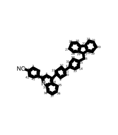 N#Cc1ccc(-c2cc(-c3ccc(-c4ccc(CC5c6ccccc6-c6ccccc65)cc4)cc3)c3ccccc3n2)cc1